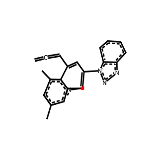 C=C=C/C(=C/C(=C\N=C)n1nnc2ccccc21)c1c(C)cc(C)cc1C